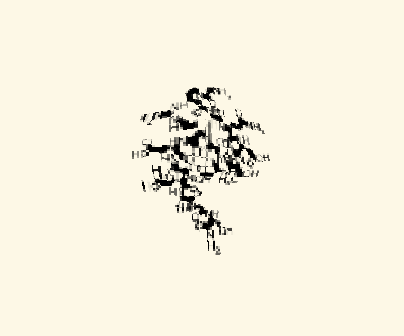 C[C@H](NC(=O)[C@H](CCC(=O)O)NC(=O)[C@H](CCCNC(=N)N)NC(=O)[C@H](C)NC(=O)[C@H](CC(=O)O)NC(=O)[C@@H](NC(=O)[C@H](CC(=O)O)NC(=O)[C@H](CCC(N)=O)NC(=O)CNC(=O)[C@@H]1CCCN1C(=O)CN)[C@@H](C)O)C(=O)N[C@@H](CCC(=O)O)C(=O)N[C@@H](CO)C(=O)NCC(=O)N[C@@H](CO)C(N)=O